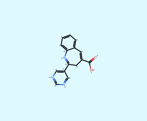 O=C(O)C1=Cc2ccccc2N=C(c2cncnc2)C1